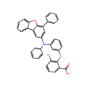 O=C(O)c1cccc(Cl)c1Sc1cccc(N(c2ccccc2)c2cc(-c3ccccc3)c3oc4ccccc4c3c2)c1